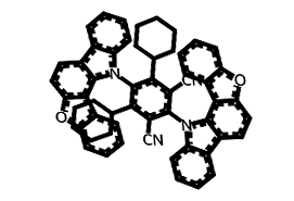 N#Cc1c(C2CCCCC2)c(-n2c3ccccc3c3ccc4oc5ccccc5c4c32)c(C2CCCCC2)c(C#N)c1-n1c2ccccc2c2ccc3oc4ccccc4c3c21